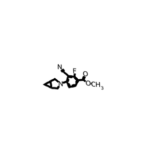 COC(=O)c1ccc(N2CC3CC3C2)c(C#N)c1F